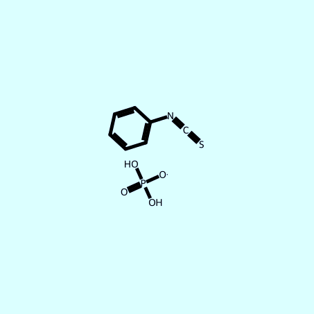 S=C=Nc1ccccc1.[O]P(=O)(O)O